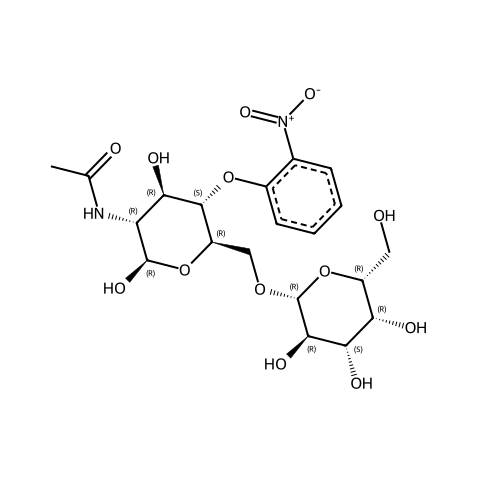 CC(=O)N[C@@H]1[C@@H](O)[C@H](Oc2ccccc2[N+](=O)[O-])[C@@H](CO[C@@H]2O[C@H](CO)[C@H](O)[C@H](O)[C@H]2O)O[C@H]1O